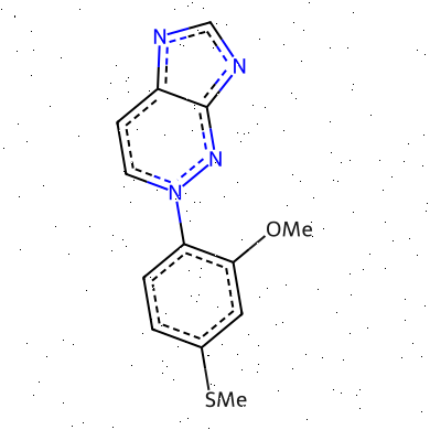 COc1cc(SC)ccc1-n1ccc2ncnc-2n1